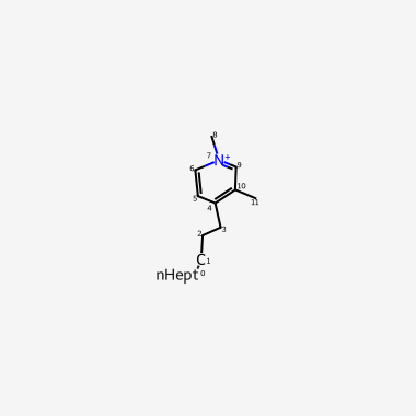 CCCCCCCCCCc1cc[n+](C)cc1C